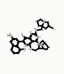 CCc1cccc2cc(O)cc(-c3nc4c5c(nc(OCC67CCCN6CC(F)C7)nc5c3F)N3CC5CCC(N5)C3CO4)c12